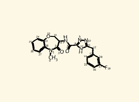 CN1C(=O)C(NC(=O)c2nnc(Cc3cccc(F)c3)[nH]2)COc2ccccc21